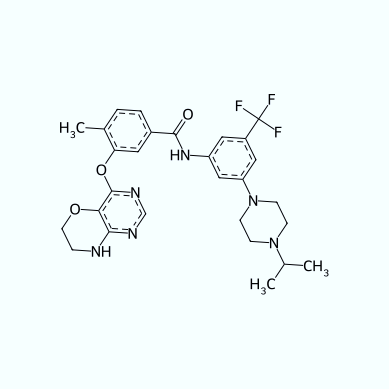 Cc1ccc(C(=O)Nc2cc(N3CCN(C(C)C)CC3)cc(C(F)(F)F)c2)cc1Oc1ncnc2c1OCCN2